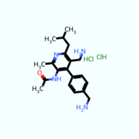 CC(=O)Nc1c(C)nc(CC(C)C)c(CN)c1-c1ccc(CN)cc1.Cl.Cl